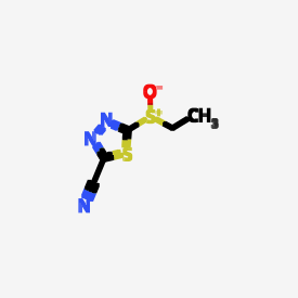 CC[S+]([O-])c1nnc(C#N)s1